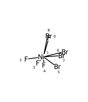 [F][Ni]([F])([F])([F])([Br])([Br])([Br])[Br]